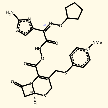 CN[n+]1ccc(SCC2=C(C(=O)ONC(=O)/C(=N\OC3CCCC3)c3csc(N)n3)N3C(=O)C[C@@H]3SC2)cc1